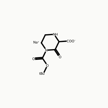 CC(C)(C)OC(=O)N1CCNC(C(=O)[O-])C1=O.[Na+]